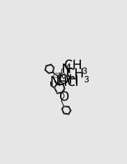 CN(C)C[C@@H](O)[C@H](c1ccccc1)n1ccc2cc(OCc3ccccc3)ccc21.Cl